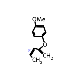 C=C(/C=C\C)Oc1ccc(OC)cc1